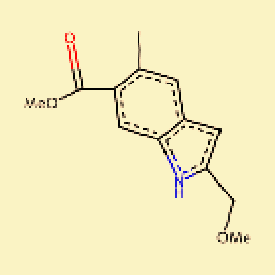 COCc1cc2cc(C)c(C(=O)OC)cc2[nH]1